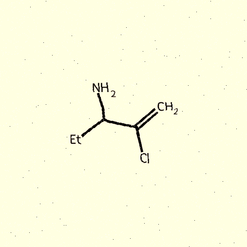 C=C(Cl)C(N)CC